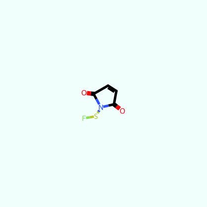 O=C1C=CC(=O)N1SF